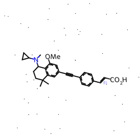 COc1cc(C#Cc2ccc(/C=C/C(=O)O)cc2)cc2c1C(N(C)C1CC1)CCC2(C)C